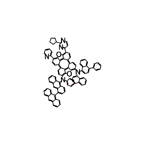 c1ccc(-c2ccc(N(c3cccc4ccccc34)c3ccc4c5ccc(-c6ccnc(C7CCCC7)n6)c6oc7c(-c8ccccn8)ccc(c8ccc(N(c9ccccc9)c9c%10ccccc%10cc%10c(-c%11c%12ccccc%12cc%12ccccc%11%12)cccc9%10)c9oc3c4c98)c7c65)c3ccccc23)cc1